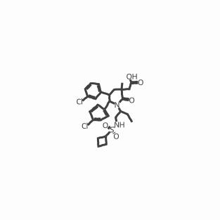 CCC(CNS(=O)(=O)C1CCC1)N1C(=O)C(C)(CC(=O)O)CC(c2cccc(Cl)c2)C1c1ccc(Cl)cc1